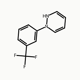 FC(F)(F)c1cccc(N2C=CC=CN2)c1